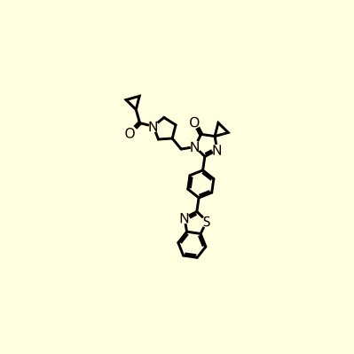 O=C(C1CC1)N1CCC(CN2C(=O)C3(CC3)N=C2c2ccc(-c3nc4ccccc4s3)cc2)C1